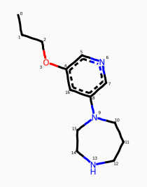 CCCOc1cncc(N2CCCNCC2)c1